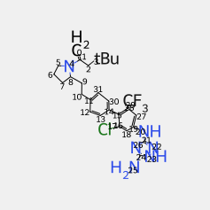 C=C(CC(C)(C)C)N1CCCC1CCc1ccc(-c2c(Cl)cc(Nc3n[nH]c(N)n3)cc2C(F)(F)F)cc1